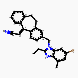 CCc1nc2c(C)cc(Br)cc2n1Cc1ccc2c(c1)CCc1ccccc1C2=CC#N